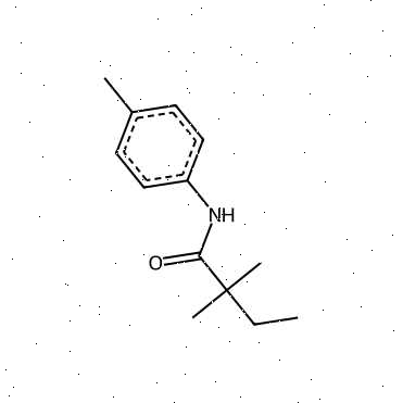 CCC(C)(C)C(=O)Nc1ccc(C)cc1